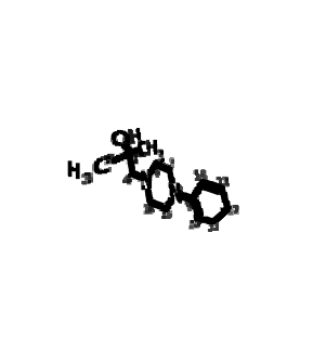 CC(C)(O)CN1CCN(C2=CC[CH]C=C2)CC1